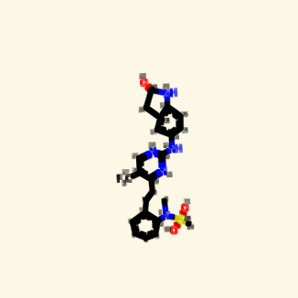 CN(c1ccccc1CCc1nc(Nc2ccc3c(c2)CC(=O)N3)ncc1C(F)(F)F)S(C)(=O)=O